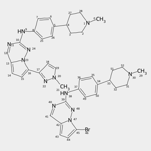 CN1CCC(c2ccc(Nc3ncc4ccc(-c5ccn(C)n5)n4n3)cc2)CC1.CN1CCC(c2ccc(Nc3ncc4ccc(Br)n4n3)cc2)CC1